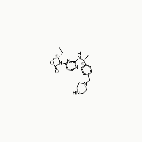 CC[C@H]1COC(=O)N1c1ccnc(N[C@@H](C)c2ccc(CN3CCNCC3)cc2)n1